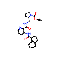 CC(C)(C)OC(=O)N1CCCC1CNC(=O)c1ncccc1NC(=O)c1cccc2ccccc12